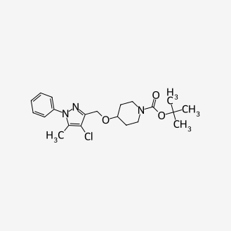 Cc1c(Cl)c(COC2CCN(C(=O)OC(C)(C)C)CC2)nn1-c1ccccc1